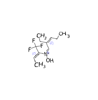 C\C=C(/[N+](O)=C\C(=C/CC)CC)C(F)(F)F